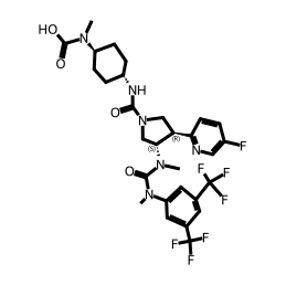 CN(C(=O)N(C)[C@@H]1CN(C(=O)N[C@H]2CC[C@H](N(C)C(=O)O)CC2)C[C@H]1c1ccc(F)cn1)c1cc(C(F)(F)F)cc(C(F)(F)F)c1